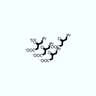 CC(C)CC(=O)CC(=O)[O-].CC(C)CC(=O)CC(=O)[O-].CC(C)CC(=O)CC(=O)[O-].CC(C)CC(=O)CC(=O)[O-].[Ti+4]